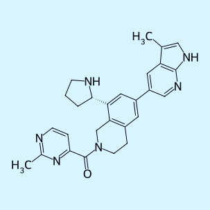 Cc1nccc(C(=O)N2CCc3cc(-c4cnc5[nH]cc(C)c5c4)cc([C@@H]4CCCN4)c3C2)n1